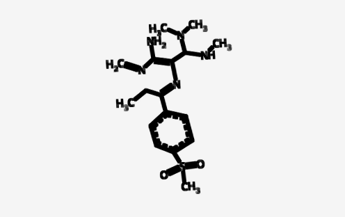 C=N/C(N)=C(\N=C(/CC)c1ccc(S(C)(=O)=O)cc1)C(NC)N(C)C